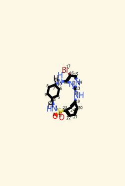 O=S1(=O)N[C@H]2CC[C@@H](CC2)Nc2nc(ncc2Br)Nc2cccc1c2